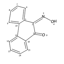 O=C1C(=NO)c2ccccc2-c2ccccc21